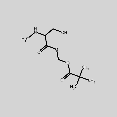 CNC(CO)C(=O)OCOC(=O)C(C)(C)C